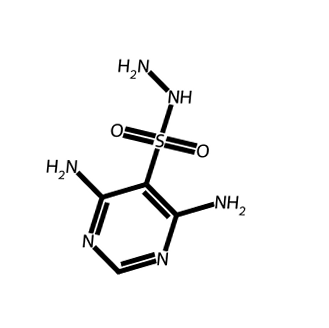 NNS(=O)(=O)c1c(N)ncnc1N